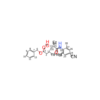 CCCCCCC(CC(=O)OCc1ccccc1)[C@H](O)C(CC)C(=O)Nc1c(C)cc(C#N)cc1C